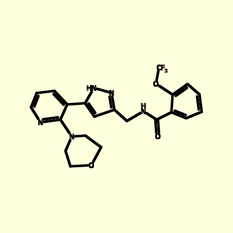 O=C(NCc1cc(-c2cccnc2N2CCOCC2)[nH]n1)c1ccccc1OC(F)(F)F